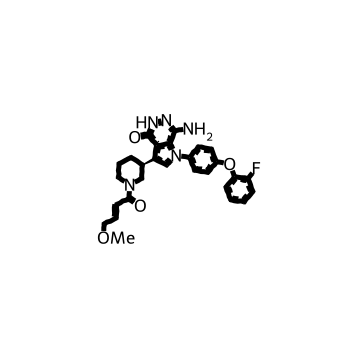 COC/C=C/C(=O)N1CCC[C@@H](c2cn(-c3ccc(Oc4ccccc4F)cc3)c3c(N)n[nH]c(=O)c23)C1